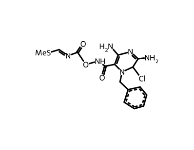 CSC=NC(=O)ONC(=O)C1=C(N)N=C(N)C(Cl)N1Cc1ccccc1